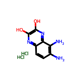 Cl.Cl.Nc1ccc2nc(O)c(O)nc2c1N